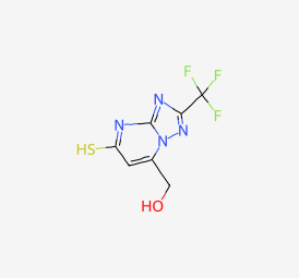 OCc1cc(S)nc2nc(C(F)(F)F)nn12